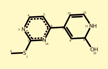 CSc1nccc(C2=CC(O)NC=C2)n1